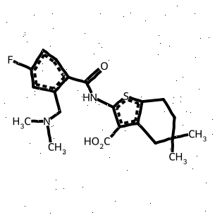 CN(C)Cc1cc(F)ccc1C(=O)Nc1sc2c(c1C(=O)O)CC(C)(C)CC2